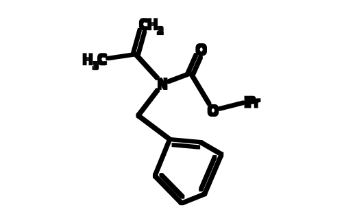 C=C(C)N(Cc1ccccc1)C(=O)OC(C)C